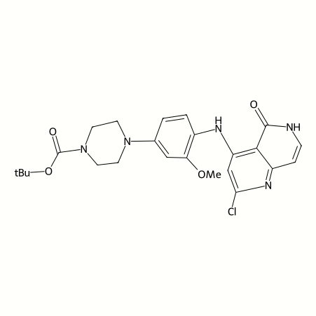 COc1cc(N2CCN(C(=O)OC(C)(C)C)CC2)ccc1Nc1cc(Cl)nc2cc[nH]c(=O)c12